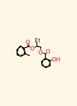 CCC(COC(=O)c1ccccc1O)OC(=O)c1ccccc1C